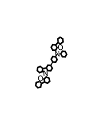 c1ccc(N(c2ccc(-c3ccc4c(c3)c3ccccc3n4-c3cccc4c3oc3ccccc34)cc2)c2cccc3c2oc2ccccc23)cc1